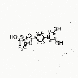 O=C(OC(C(F)(F)F)C(F)(F)S(=O)(=O)O)c1ccc(N(CCO)CCO)cc1